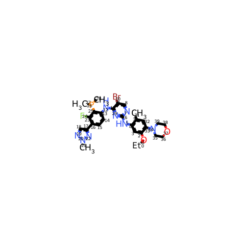 CCOc1cc(Nc2ncc(Br)c(Nc3ccc(-c4cnn(C)n4)c(F)c3P(C)C)n2)c(C)cc1N1CCOCC1